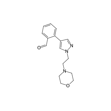 O=Cc1ccccc1-c1cnn(CCN2CCOCC2)c1